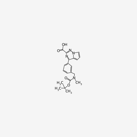 CN(Cc1cccc(-c2nc(C(=O)O)nn3cccc23)c1)C(=O)OC(C)(C)C